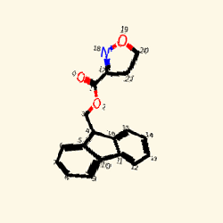 O=C(OCC1c2ccccc2-c2ccccc21)C1=NOCC1